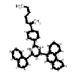 C=C(/C=C\C=C/C)c1ccc(-c2nc(-c3cccc4ccccc34)cc(-c3cc4ccccc4c4ccccc34)n2)cc1